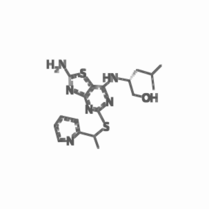 CC(C)C[C@H](CO)Nc1nc(SC(C)c2ccccn2)nc2nc(N)sc12